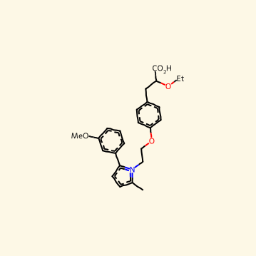 CCOC(Cc1ccc(OCCn2c(C)ccc2-c2cccc(OC)c2)cc1)C(=O)O